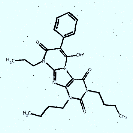 CCCCn1c(=O)c2c(nc3n(CCC)c(=O)c(-c4ccccc4)c(O)n23)n(CCCC)c1=O